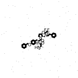 CN[C@@H](C)C(=O)N[C@@H](Cc1ccc(OCc2ccccc2)cc1)C(=O)N1CCC[C@H]1CN(CCc1ccccc1)C(=O)C(F)(F)F